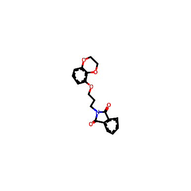 O=C1c2ccccc2C(=O)N1CCCOc1cccc2c1OCCO2